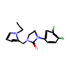 CCn1cccc1CN1CCN(c2ccc(Br)c(F)c2)C1=O